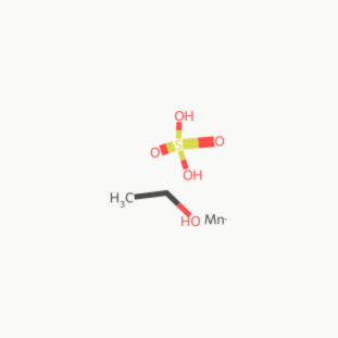 CCO.O=S(=O)(O)O.[Mn]